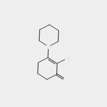 O=C1CCCC(N2CCCCC2)=C1Cl